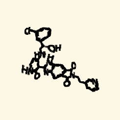 O=C1c2cc3nc(-c4c(NC[C@@H](O)c5cccc(Cl)c5)cc[nH]c4=O)[nH]c3cc2C(=O)N1CCc1cccnc1